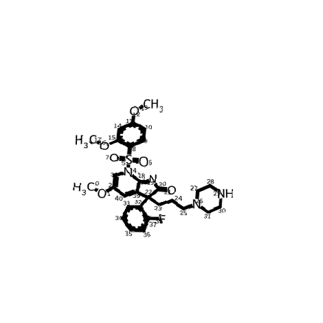 COC1=CN(S(=O)(=O)c2ccc(OC)cc2OC)C2=NC(=O)C(CCCN3CCNCC3)(c3ccccc3F)C2=C1